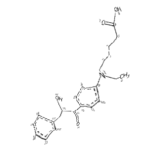 CN(CCCCC(=O)O)c1ccc(C(=O)C(O)c2ccccc2)cc1